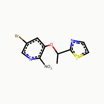 CC(Oc1cc(Br)cnc1[N+](=O)[O-])c1nccs1